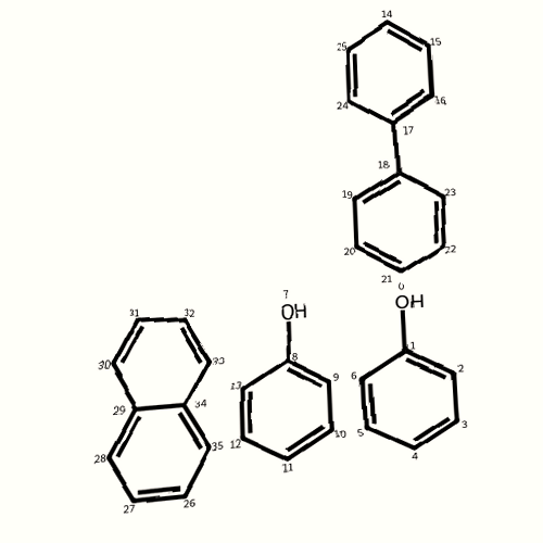 Oc1ccccc1.Oc1ccccc1.c1ccc(-c2ccccc2)cc1.c1ccc2ccccc2c1